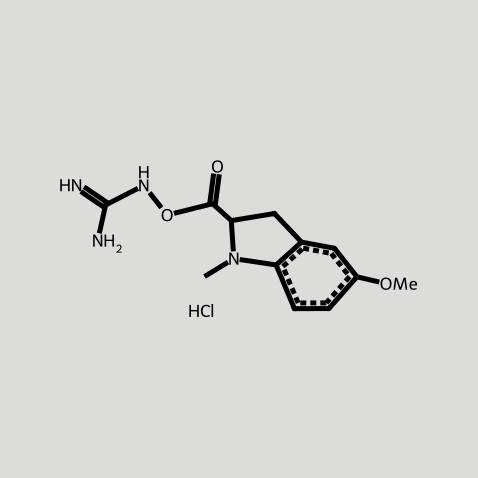 COc1ccc2c(c1)CC(C(=O)ONC(=N)N)N2C.Cl